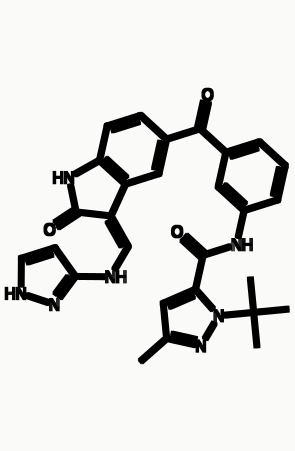 Cc1cc(C(=O)Nc2cccc(C(=O)c3ccc4c(c3)/C(=C/Nc3cc[nH]n3)C(=O)N4)c2)n(C(C)(C)C)n1